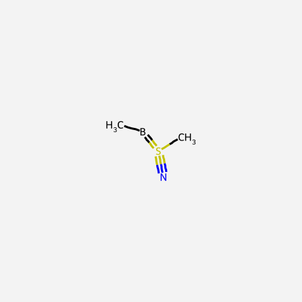 CB=S(C)#N